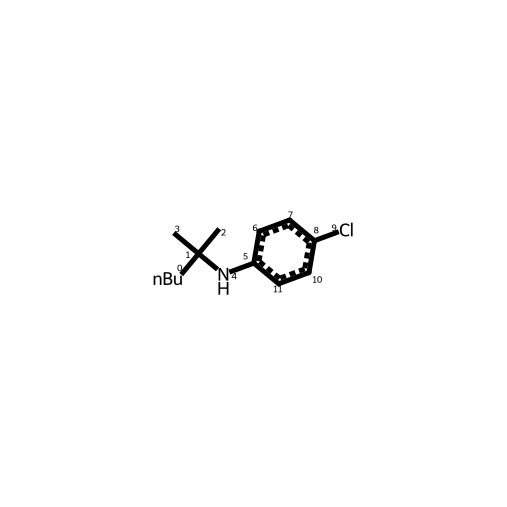 CCCCC(C)(C)Nc1ccc(Cl)cc1